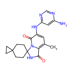 Cc1cc(Nc2cc(N)ncn2)c(=O)n2c1C(=O)NC21CCC2(CC2)CC1